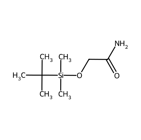 CC(C)(C)[Si](C)(C)OCC(N)=O